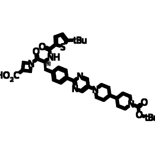 CC(C)(C)OC(=O)N1CCC(C2CCN(c3cnc(-c4ccc(C[C@H](NC(=O)c5ccc(C(C)(C)C)s5)C(=O)N5CC(C(=O)O)C5)cc4)nc3)CC2)CC1